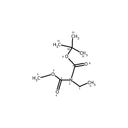 CCN(C(=O)OC)C(=O)OC(C)(C)C